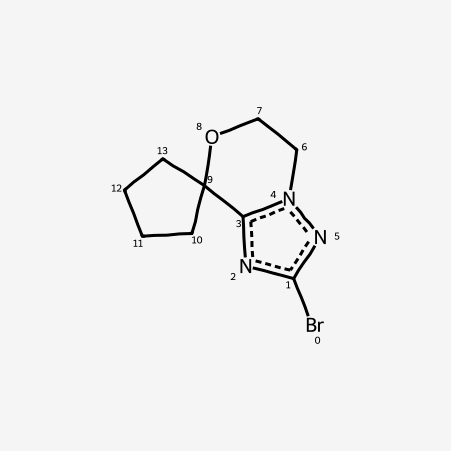 Brc1nc2n(n1)CCOC21CCCC1